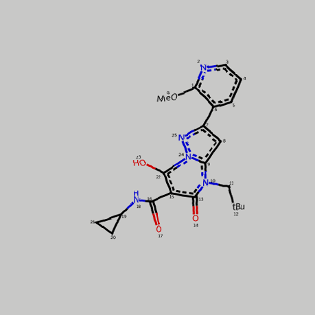 COc1ncccc1-c1cc2n(CC(C)(C)C)c(=O)c(C(=O)NC3CC3)c(O)n2n1